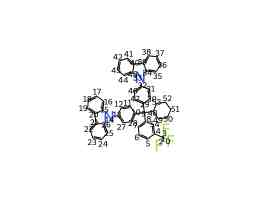 FC(F)(F)c1cccc(C(c2ccc(-n3c4ccccc4c4ccccc43)cc2)(c2ccc(-n3c4ccccc4c4ccccc43)cc2)C2CCCCC2)c1